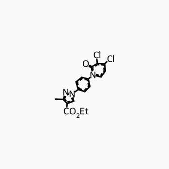 CCOC(=O)c1cn(-c2ccc(-n3ccc(Cl)c(Cl)c3=O)cc2)nc1C